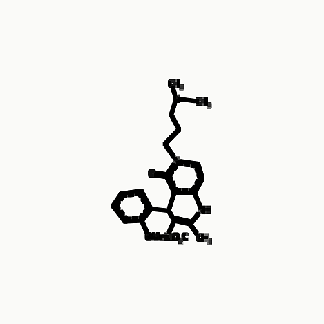 CCOC(=O)C1=C(C)Nc2ccn(CCCN(C)C)c(=O)c2C1c1ccccc1OC